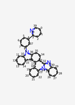 c1ccc(-c2cccc(-n3c4ccccc4c4c5c6ccccc6n6c7ccccc7nc6c5ccc43)c2)nc1